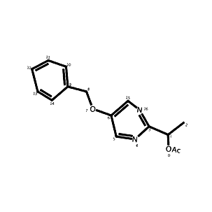 CC(=O)OC(C)c1ncc(OCc2ccccc2)cn1